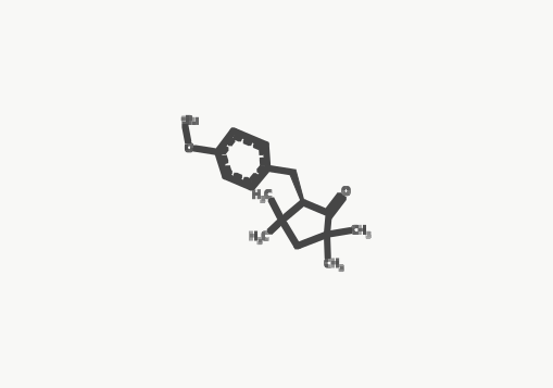 CC(C)(C)Oc1ccc(C[C@H]2C(=O)C(C)(C)CC2(C)C)cc1